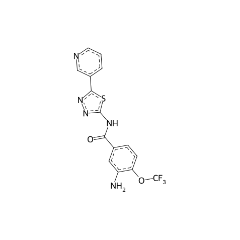 Nc1cc(C(=O)Nc2nnc(-c3cccnc3)s2)ccc1OC(F)(F)F